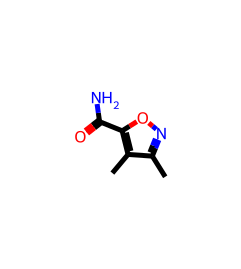 Cc1noc(C(N)=O)c1C